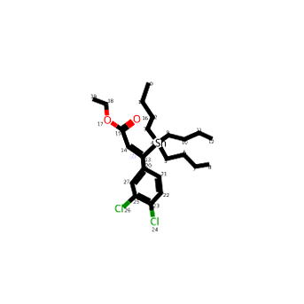 CCC[CH2][Sn]([CH2]CCC)([CH2]CCC)/[C](=C\C(=O)OCC)c1ccc(Cl)c(Cl)c1